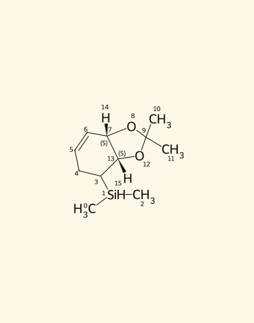 C[SiH](C)C1CC=C[C@@H]2OC(C)(C)O[C@H]12